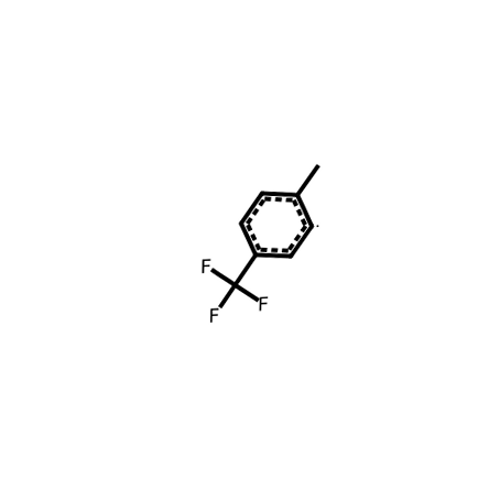 Cc1[c]cc(C(F)(F)F)cc1